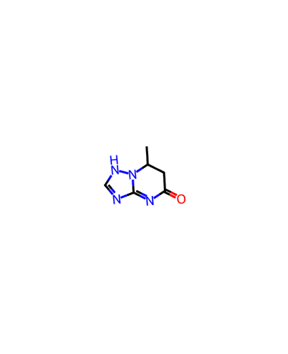 CC1CC(=O)N=C2N=CNN21